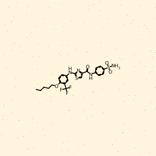 CCCCCOc1ccc(Nc2nc(C(=O)Nc3ccc(S(N)(=O)=O)cc3)cs2)cc1C(F)(F)F